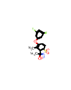 Cc1c(Oc2cc(F)cc(F)c2)ccc2c1C(C)(O)NS2(=O)=O